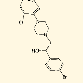 OC(CN1CCN(c2ccccc2Cl)CC1)c1ccc(Br)cc1